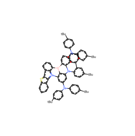 CC(C)(C)c1ccc(N(c2ccc(C(C)(C)C)cc2)c2ccc3c(c2)N(c2ccc(C(C)(C)C)cc2-c2ccccc2)c2cc(N(c4ccc(C(C)(C)C)cc4)c4ccc(C(C)(C)C)cc4)cc4c2B3c2cccc3c5sc6ccccc6c5n-4c23)cc1